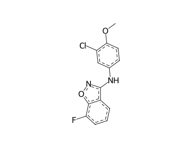 COc1ccc(Nc2noc3c(F)cccc23)cc1Cl